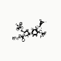 CC(C)(C)OC(=O)N1C[C@@H](c2ccc(OC(F)F)c(OCC3CC3)c2)C[C@H]1COS(C)(=O)=O